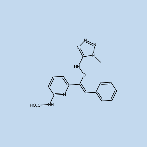 Cn1nnnc1NOC(=Cc1ccccc1)c1cccc(NC(=O)O)n1